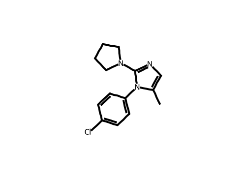 Cc1cnc(N2CCCC2)n1-c1ccc(Cl)cc1